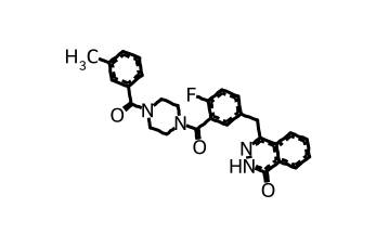 Cc1cccc(C(=O)N2CCN(C(=O)c3cc(Cc4n[nH]c(=O)c5ccccc45)ccc3F)CC2)c1